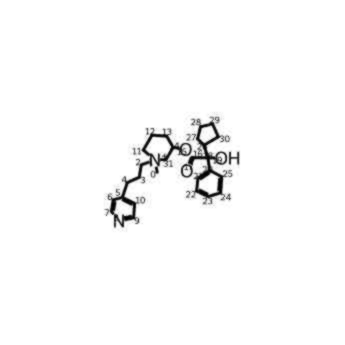 C[N+]1(CCCc2ccncc2)CCCC(OC(=O)C(O)(c2ccccc2)C2CCCC2)C1